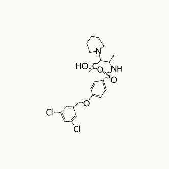 CC(NS(=O)(=O)c1ccc(OCc2cc(Cl)cc(Cl)c2)cc1)C(C(=O)O)N1CCCCC1